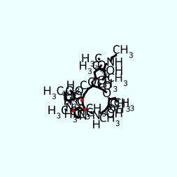 CCCNC[C@]1(O)[C@H](C)O[C@@H](OC2C(C)C(=O)OC(CC)C(C)(O)C(O)C(C)NCC(C)CC(C)(O)C(O[C@@H]3O[C@H](C)C[C@H](N(C)C)[C@H]3Oc3cccnc3C)C2C)C[C@@]1(C)OC